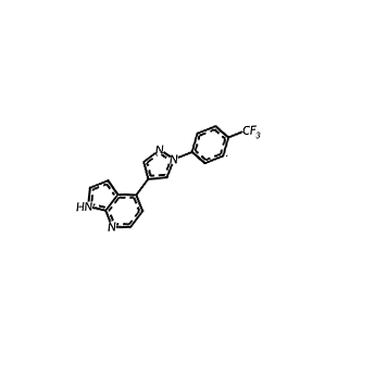 FC(F)(F)c1[c]cc(-n2cc(-c3ccnc4[nH]ccc34)cn2)cc1